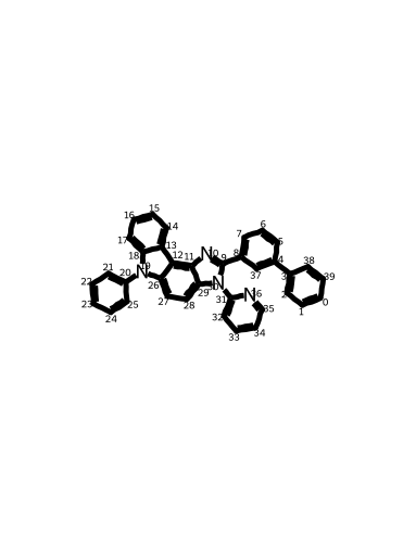 c1ccc(-c2cccc(-c3nc4c5c6ccccc6n(-c6ccccc6)c5ccc4n3-c3ccccn3)c2)cc1